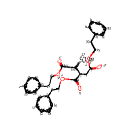 O=C(CC(C(=O)OCCc1ccccc1)C(C(=O)OCCc1ccccc1)S(=O)(=O)O)OCCc1ccccc1